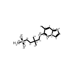 Cc1cc2nccn2nc1OCC(C)(C)CCS(N)(=O)=O